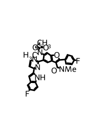 CNC(=O)c1c(-c2ccc(F)cc2)oc2cc(N(C)S(C)(=O)=O)c(-c3nccc(-c4cc5cc(F)ccc5[nH]4)n3)cc12